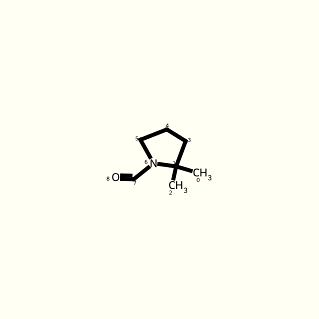 CC1(C)CCCN1C=O